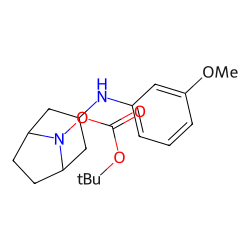 COc1cccc(NC2CC3CCC(C2)N3OC(=O)OC(C)(C)C)c1